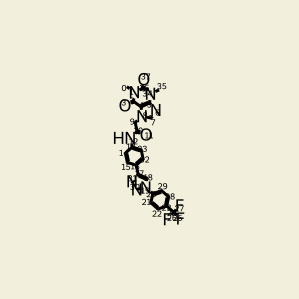 Cn1c(=O)c2c(ncn2CC(=O)Nc2ccc(-c3cn(-c4ccc(C(F)(F)F)cc4)nn3)cc2)n(C)c1=O